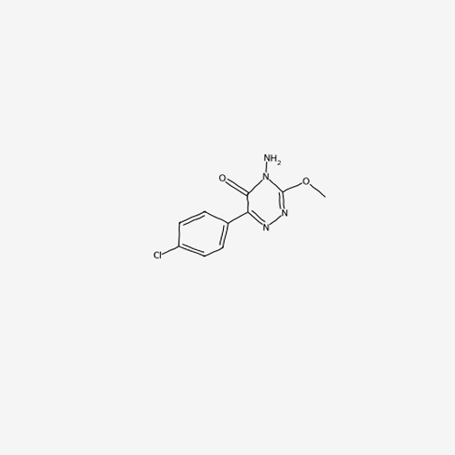 COc1nnc(-c2ccc(Cl)cc2)c(=O)n1N